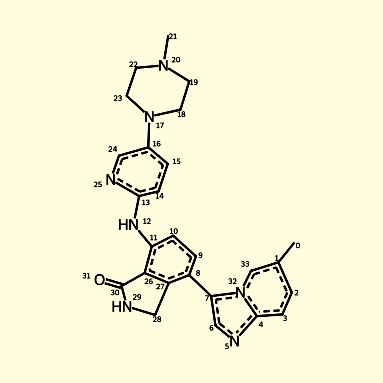 Cc1ccc2ncc(-c3ccc(Nc4ccc(N5CCN(C)CC5)cn4)c4c3CNC4=O)n2c1